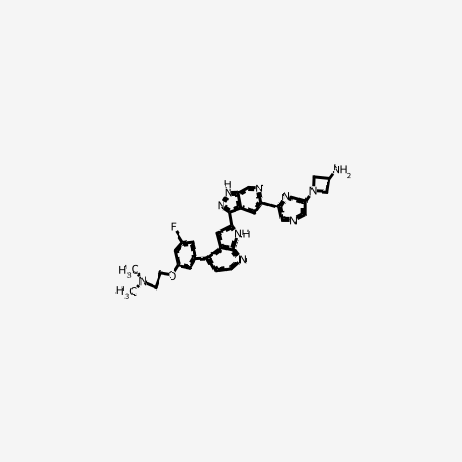 CN(C)CCOc1cc(F)cc(-c2ccnc3[nH]c(-c4n[nH]c5cnc(-c6cncc(N7CC(N)C7)n6)cc45)cc23)c1